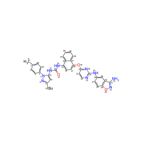 Cc1ccc(-n2nc(C(C)(C)C)cc2NC(=O)Nc2ccc(Oc3ccnc(Nc4ccc5onc(N)c5c4)n3)c3ccccc23)cc1